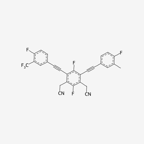 Cc1cc(C#Cc2c(F)c(C#Cc3ccc(F)c(C(F)(F)F)c3)c(CC#N)c(F)c2CC#N)ccc1F